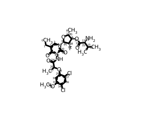 CCc1cn([C@@H]2O[C@H](C)[C@@H](OC(=O)[C@@H](N)C(C)C)[C@@H]2F)c(=O)n(NC(=O)C(C)Oc2cc(OC)c(Cl)cc2Cl)c1=O